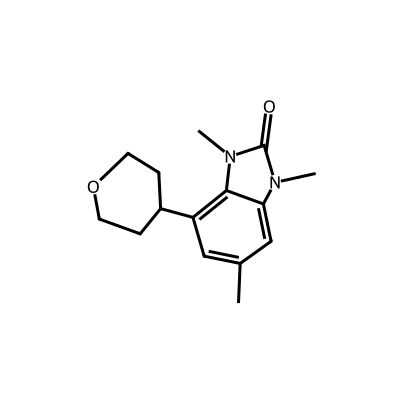 Cc1cc(C2CCOCC2)c2c(c1)n(C)c(=O)n2C